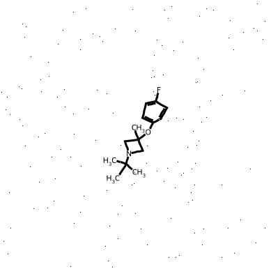 CC1(Oc2ccc(F)cc2)CN(C(C)(C)C)C1